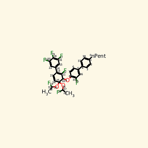 CCCCCc1ccc(-c2ccc(OC3C(F)=C(c4cc(F)c(F)c(F)c4)C=CC3(OC(C)F)OC(C)F)c(F)c2)cc1